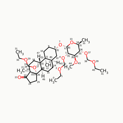 CCOCO[C@@H]1[C@H](O[C@H]2CC[C@@]3(C)[C@H](CC[C@@H]4[C@@H]3CC[C@]3(C)C(=O)CC[C@]43OCOCC)C2)O[C@@H](C)[C@H](OCOCC)[C@H]1OC